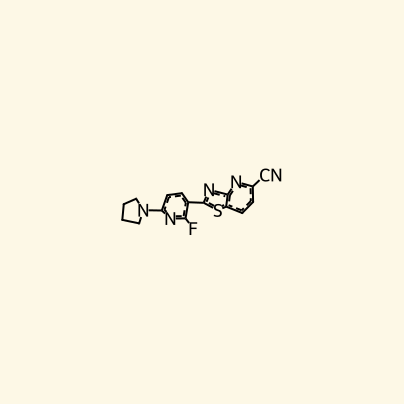 N#Cc1ccc2sc(-c3ccc(N4CCCC4)nc3F)nc2n1